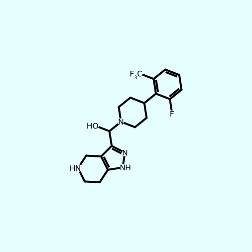 OC(c1n[nH]c2c1CNCC2)N1CCC(c2c(F)cccc2C(F)(F)F)CC1